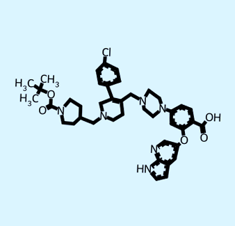 CC(C)(C)OC(=O)N1CCC(CN2CCC(CN3CCN(c4ccc(C(=O)O)c(Oc5cnc6[nH]ccc6c5)c4)CC3)=C(c3ccc(Cl)cc3)C2)CC1